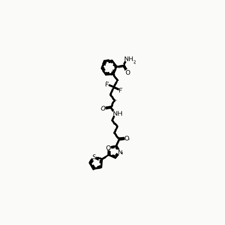 NC(=O)c1ccccc1CC(F)(F)C[CH]C(=O)NCCCC(=O)c1ncc(-c2cccs2)o1